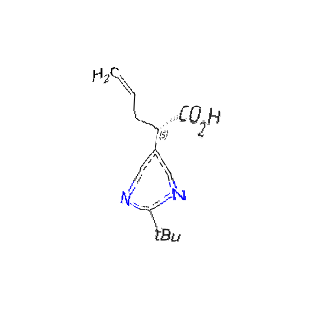 C=CC[C@H](C(=O)O)c1cnc(C(C)(C)C)nc1